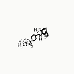 CC(C)(C)OC(=O)N1CCC(CNc2c(N)cnc3ccsc23)CC1